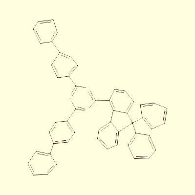 c1ccc(-c2ccc(-c3nc(-c4ccc(-c5ccccc5)cc4)nc(-c4cccc5c4-c4ccccc4C5(c4ccccc4)c4ccccc4)n3)cc2)cc1